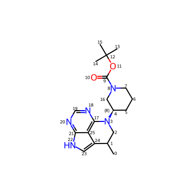 CC1CN([C@@H]2CCCN(C(=O)OC(C)(C)C)C2)c2ncnc3[nH]cc1c23